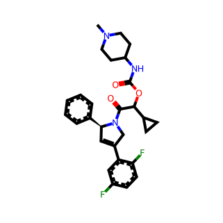 CN1CCC(NC(=O)OC(C(=O)N2CC(c3cc(F)ccc3F)=C[C@H]2c2ccccc2)C2CC2)CC1